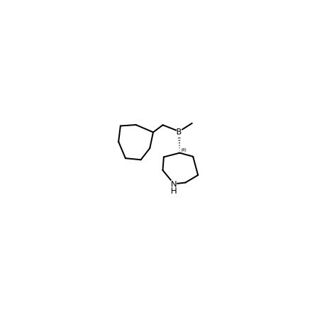 CB(CC1CCCCCC1)[C@@H]1CCCNCC1